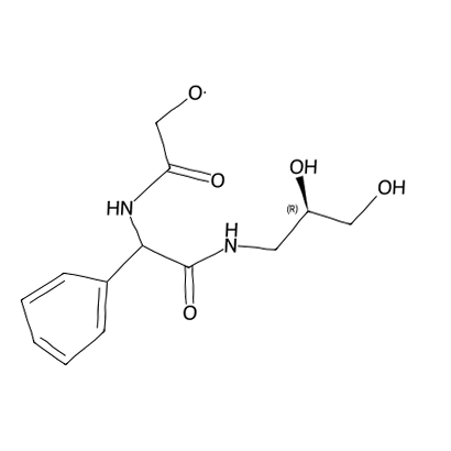 [O]CC(=O)NC(C(=O)NC[C@@H](O)CO)c1ccccc1